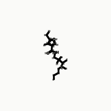 CCCCN(C)C(C)C(C)(C)CNC(=O)c1noc(CC)c1C